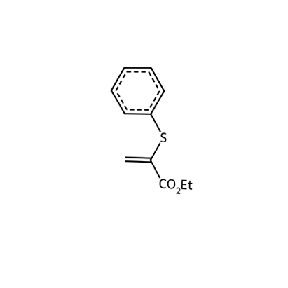 C=C(Sc1ccccc1)C(=O)OCC